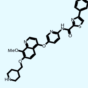 COc1c(OCC2CCNCC2)ccc2c(Oc3ccc(NC(=O)c4nc(-c5ccccc5)cs4)nc3)ccnc12